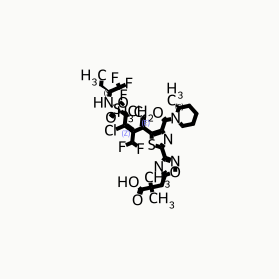 C=C(/C(Cl)=C(\C(=C/C)c1sc(-c2noc(CC(C)(C)C(=O)O)n2)nc1C(=O)N1CCCC[C@@H]1C)C(F)F)S(=O)(=O)N[C@@H](CC)C(F)(F)F